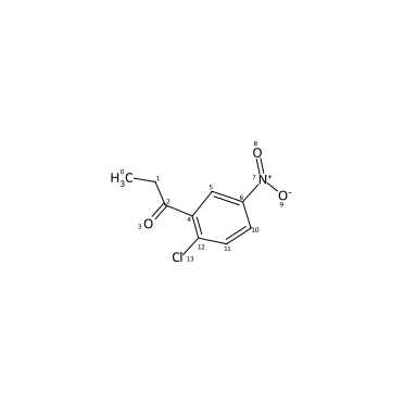 CCC(=O)c1cc([N+](=O)[O-])ccc1Cl